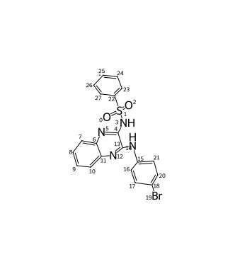 O=S(=O)(Nc1nc2ccccc2nc1Nc1ccc(Br)cc1)c1cc[c]cc1